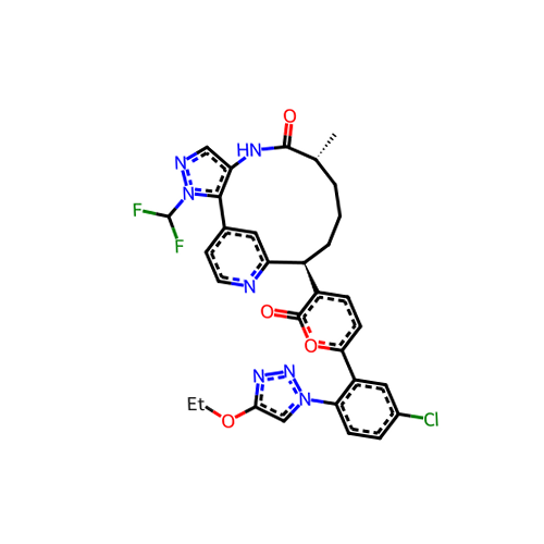 CCOc1cn(-c2ccc(Cl)cc2-c2ccc([C@@H]3CCC[C@@H](C)C(=O)Nc4cnn(C(F)F)c4-c4ccnc3c4)c(=O)o2)nn1